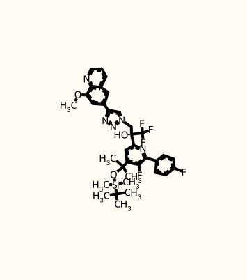 COc1cc(-c2cn(C[C@](O)(c3cc(C(C)(C)O[Si](C)(C)C(C)(C)C)c(F)c(-c4ccc(F)cc4)n3)C(F)(F)F)nn2)cc2cccnc12